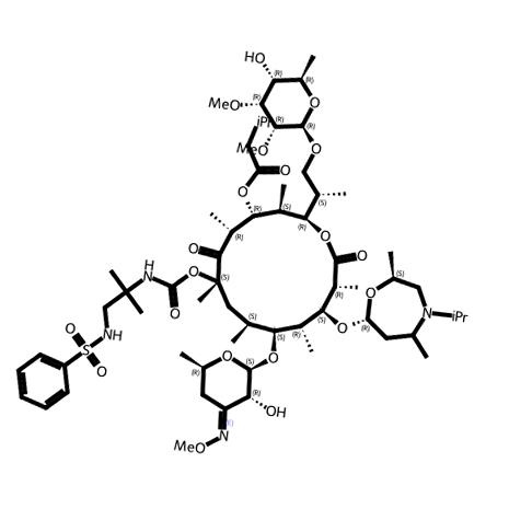 CO/N=C1\C[C@@H](C)O[C@@H](O[C@@H]2[C@@H](C)[C@H](O[C@H]3CC(C)N(C(C)C)C[C@H](C)O3)[C@@H](C)C(=O)O[C@H]([C@@H](C)CO[C@@H]3O[C@H](C)[C@@H](O)[C@@H](OC)[C@H]3OC)[C@H](C)[C@@H](OC(=O)CC(C)C)[C@@H](C)C(=O)[C@@](C)(OC(=O)NC(C)(C)CNS(=O)(=O)c3ccccc3)C[C@@H]2C)[C@@H]1O